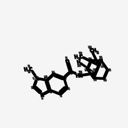 Cn1cnc2ccc(C(=O)N[C@@H]3C4CCN(CC4)C3(C)C)cc21